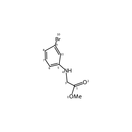 COC(=O)CNc1cccc(Br)c1